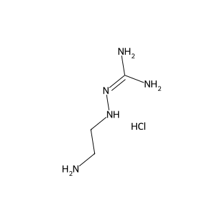 Cl.NCCNN=C(N)N